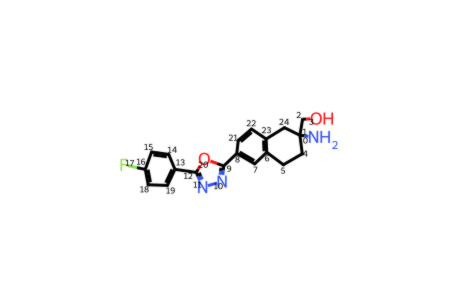 NC1(CO)CCc2cc(-c3nnc(-c4ccc(F)cc4)o3)ccc2C1